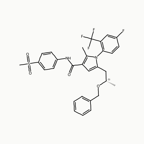 Cc1c(C(=O)Nc2ccc(S(C)(=O)=O)cc2)cc(C[C@H](C)OCc2ccccc2)n1-c1ccc(F)cc1C(F)(F)F